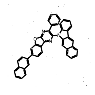 c1ccc(-c2nc3oc4cc(-c5ccc6ccccc6c5)ccc4c3nc2-n2c3ccccc3c3cc4ccccc4cc32)cc1